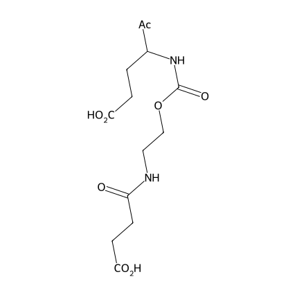 CC(=O)C(CCC(=O)O)NC(=O)OCCNC(=O)CCC(=O)O